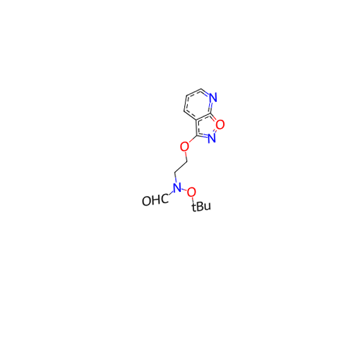 CC(C)(C)ON(C=O)CCOc1noc2ncccc12